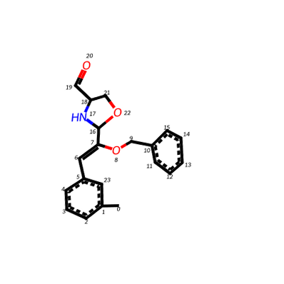 Cc1cccc(C=C(OCc2ccccc2)C2NC(C=O)CO2)c1